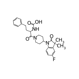 CC1(C)C(=O)N(C2CCN(C(=O)C(CCc3ccccc3)NC(=O)O)CC2)c2ccc(F)cc21